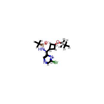 CC(C)(C)[S@@+]([O-])N[C@H](c1cncc(Br)n1)C1CC(O[Si](C)(C)C(C)(C)C)C1